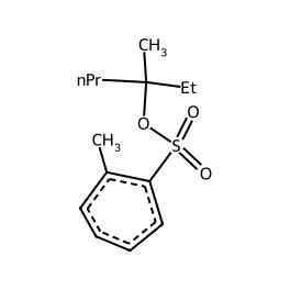 CCCC(C)(CC)OS(=O)(=O)c1ccccc1C